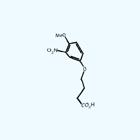 COc1ccc(OCCCC(=O)O)cc1[N+](=O)[O-]